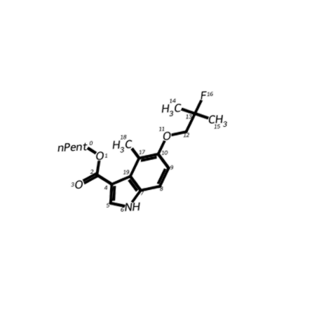 CCCCCOC(=O)c1c[nH]c2ccc(OCC(C)(C)F)c(C)c12